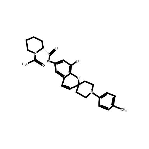 CC(=O)N1CCCC[C@@H]1C(=O)Nc1cc(Cl)c2c(c1)C=CC1(CCN(c3ccc(C)cc3)CC1)O2